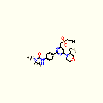 C[C@H]1COCCN1c1cc(CS(=O)(=O)CC#N)nc(-c2ccc(NC(=O)N(C)C)cc2)n1